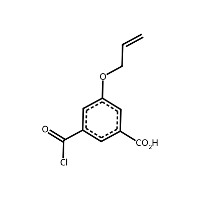 C=CCOc1cc(C(=O)O)cc(C(=O)Cl)c1